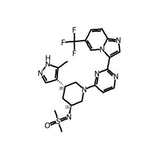 Cc1[nH]ncc1[C@H]1C[C@H](N=S(C)(C)=O)CN(c2ccnc(-c3cnc4ccc(C(F)(F)F)cn34)n2)C1